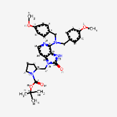 COc1ccc(CN(Cc2ccc(OC)cc2)c2nccc3c2[nH]c(=O)n3C[C@@H]2CCCN2C(=O)OC(C)(C)C)cc1